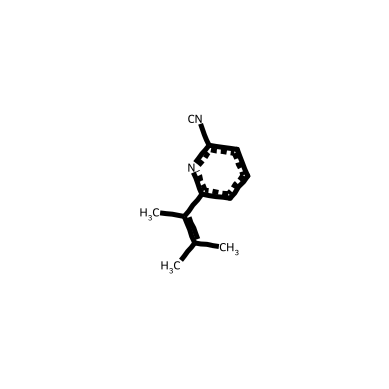 [C-]#[N+]c1cccc(C(C)=C(C)C)n1